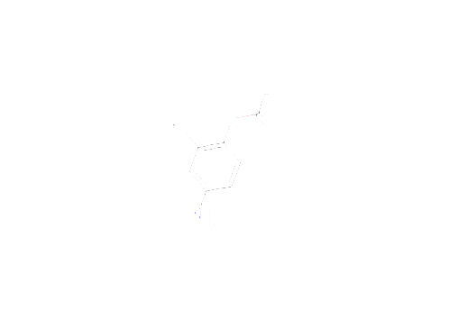 CCC(=O)Oc1ccc(N)cc1C(C)=O